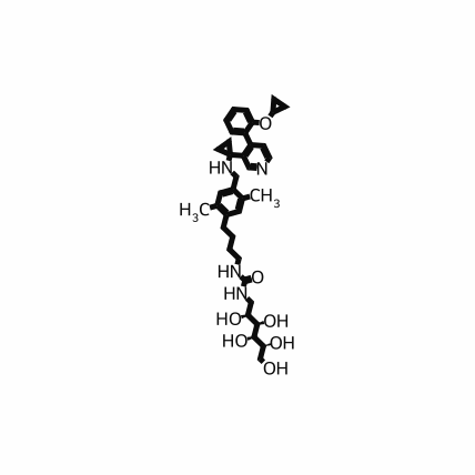 Cc1cc(CNC2(c3cnccc3-c3ccccc3OC3CC3)CC2)c(C)cc1CCCCNC(=O)NC[C@H](O)[C@@H](O)[C@H](O)[C@H](O)CO